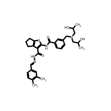 Cc1ccc(C=NNC(=O)c2c(NC(=O)c3cccc(CN(CC(C)O)CC(C)O)c3)sc3c2CCC3)cc1C